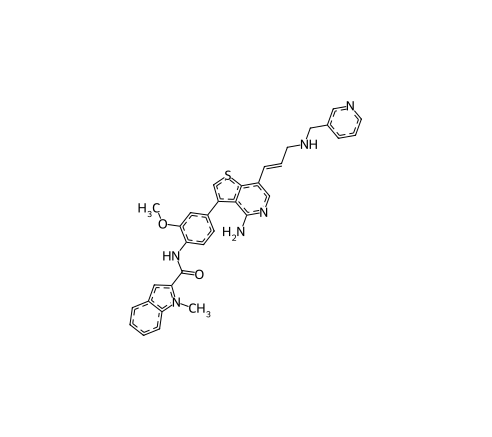 COc1cc(-c2csc3c(/C=C/CNCc4cccnc4)cnc(N)c23)ccc1NC(=O)c1cc2ccccc2n1C